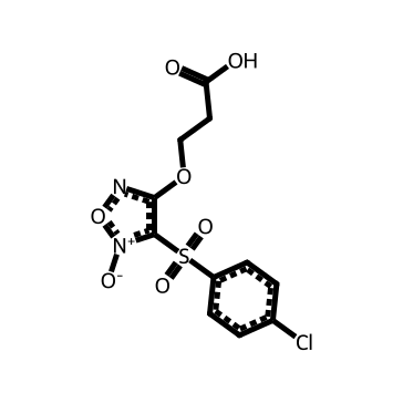 O=C(O)CCOc1no[n+]([O-])c1S(=O)(=O)c1ccc(Cl)cc1